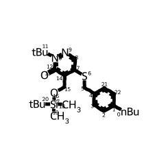 CCCCc1ccc(CSc2cnn(C(C)(C)C)c(=O)c2CO[Si](C)(C)C(C)(C)C)cc1